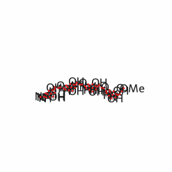 COC(=O)CCC(C)C1CCC2[C@@H]3C(CC(O)C12C)C1(C)CC[C@@H](NC(=O)CCC(C)C2CCC4[C@@H]5C(CC(O)C24C)C2(C)CC[C@@H](NC(=O)CCC(C)C4CCC6[C@@H]7C(CC(O)C46C)C4(C)CC[C@@H](NC(=O)CCC(C)C6CCC8[C@@H]9C(CC(O)C68C)C6(C)CC[C@@H](N=[N+]=[N-])C[C@H]6C[C@@H]9O)C[C@H]4C[C@@H]7O)C[C@H]2C[C@@H]5O)C[C@H]1C[C@@H]3O